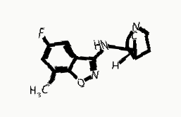 Cc1cc(F)cc2c(N[C@@H]3CN4CCC3CC4)noc12